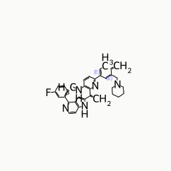 C=C/C(=C\C(=C/C)c1ccc(NC)c(C(=C)c2cc3c(-c4cccc(F)c4)nccc3[nH]2)n1)CN1CCCCC1